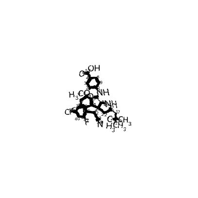 COc1cc(C(=O)O)ccc1NC(=O)[C@@H]1N[C@@H](CC(C)(C)C)C[C@]1(c1cccc(Cl)c1F)C(C#N)c1ccc(Cl)cc1F